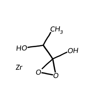 CC(O)C1(O)OO1.[Zr]